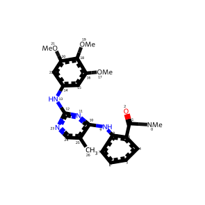 CNC(=O)c1ccccc1Nc1nc(Nc2cc(OC)c(OC)c(OC)c2)ncc1C